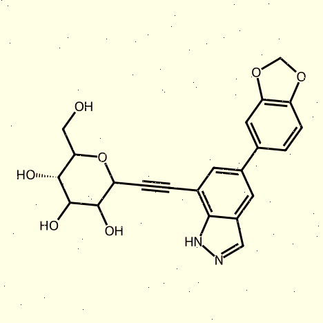 OCC1OC(C#Cc2cc(-c3ccc4c(c3)OCO4)cc3cn[nH]c23)C(O)C(O)[C@@H]1O